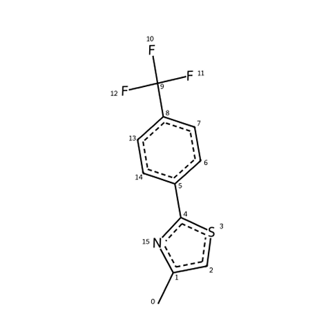 Cc1csc(-c2ccc(C(F)(F)F)cc2)n1